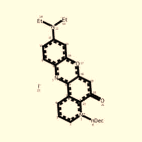 CCCCCCCCCC[n+]1cccc2c3nc4ccc(N(CC)CC)cc4oc-3cc(=O)c21.[I-]